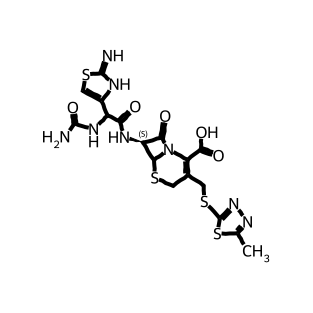 Cc1nnc(SCC2=C(C(=O)O)N3C(=O)[C@H](NC(=O)C(NC(N)=O)c4csc(=N)[nH]4)C3SC2)s1